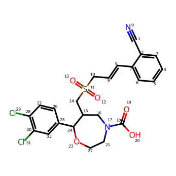 N#Cc1ccccc1C=CCS(=O)(=O)CC1CN(C(=O)O)CCOC1c1ccc(Cl)c(Cl)c1